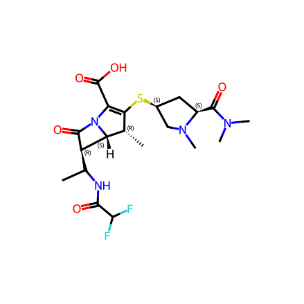 CC(NC(=O)C(F)F)[C@H]1C(=O)N2C(C(=O)O)=C(S[C@H]3C[C@@H](C(=O)N(C)C)N(C)C3)[C@H](C)[C@H]12